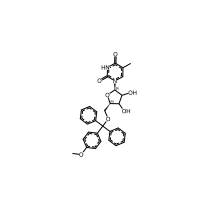 COc1ccc(C(OC[C@H]2O[C@@H](n3cc(C)c(=O)[nH]c3=O)C(O)C2O)(c2ccccc2)c2ccccc2)cc1